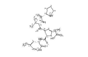 CC(=O)O.CC(C)C[C@H](NC(=O)[C@@H]1CCCN1C(=O)[C@@H](NC(=O)[C@@H]1CCCN1)C(C)C)C(=O)O